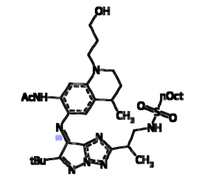 CCCCCCCCS(=O)(=O)NCC(C)c1nc2n(n1)N=C(C(C)(C)C)/C2=N/c1cc2c(cc1NC(C)=O)N(CCCO)CCC2C